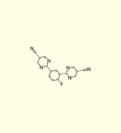 N#Cc1cnc(-c2ccc(F)c(-c3ncc(C#N)cn3)c2)nc1